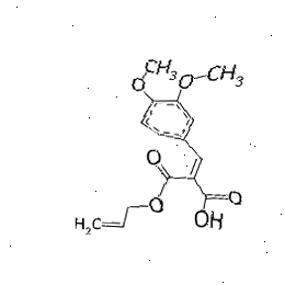 C=CCOC(=O)C(=Cc1ccc(OC)c(OC)c1)C(=O)O